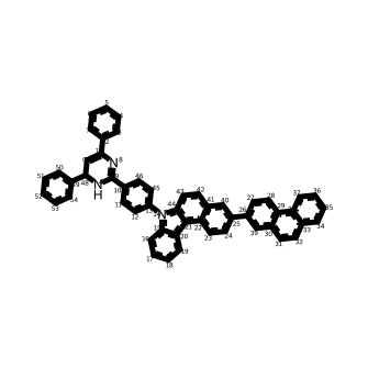 C1=C(c2ccccc2)N=C(c2ccc(-n3c4ccccc4c4c5ccc(-c6ccc7c(ccc8ccccc87)c6)cc5ccc43)cc2)NC1c1ccccc1